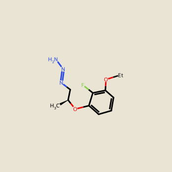 CCOc1cccc(O[C@@H](C)CN=NN)c1F